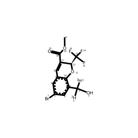 [2H]C([2H])(O)c1cc(Br)cc2c1O[C@H](C(F)(F)F)C(C(=O)OC)=C2